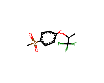 C[C@H](Oc1ccc(S(C)(=O)=O)cc1)C(F)(F)F